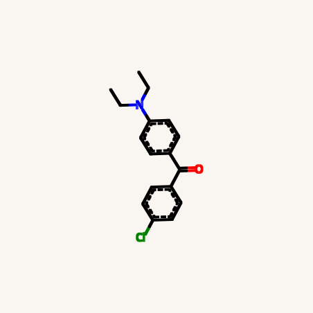 CCN(CC)c1ccc(C(=O)c2ccc(Cl)cc2)cc1